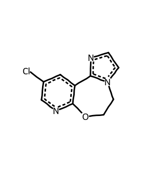 Clc1cnc2c(c1)-c1nccn1CCO2